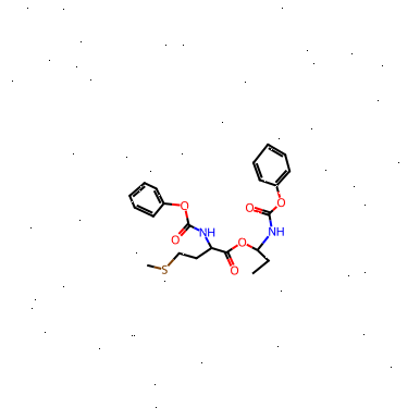 CCC(NC(=O)Oc1ccccc1)OC(=O)C(CCSC)NC(=O)Oc1ccccc1